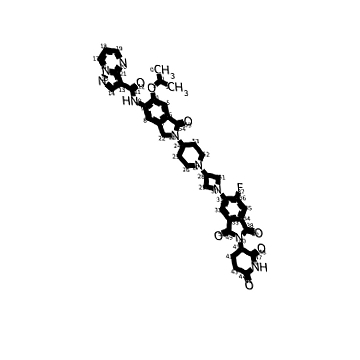 CC(C)Oc1cc2c(cc1NC(=O)c1cnn3cccnc13)CN(C1CCN(C3CN(c4cc5c(cc4F)C(=O)N(C4CCC(=O)NC4=O)C5=O)C3)CC1)C2=O